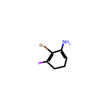 NC1=CCCC(I)=C1Br